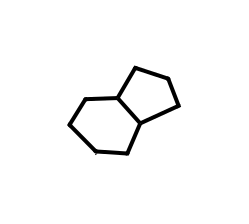 [CH]1CCC2CCCC2C1